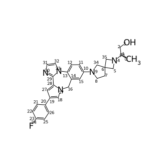 C[C@H](CO)N1CC2(CCN(c3ccc4c(c3)Cn3cc(-c5ccc(F)cc5)cc3-c3nccn3-4)C2)C1